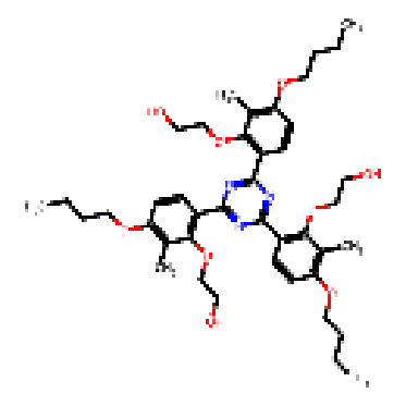 CCCCOc1ccc(-c2nc(-c3ccc(OCCCC)c(C)c3OCCO)nc(-c3ccc(OCCCC)c(C)c3OCCO)n2)c(OCCO)c1C